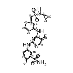 Cc1ccc(Nc2ncc(F)c(NC3=CC(=CS(=O)(=O)NC4CC4)CC=C3)n2)cc1S(N)(=O)=O